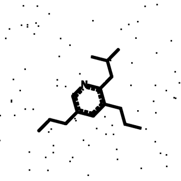 CCCc1cnc(CC(C)C)c(CCC)c1